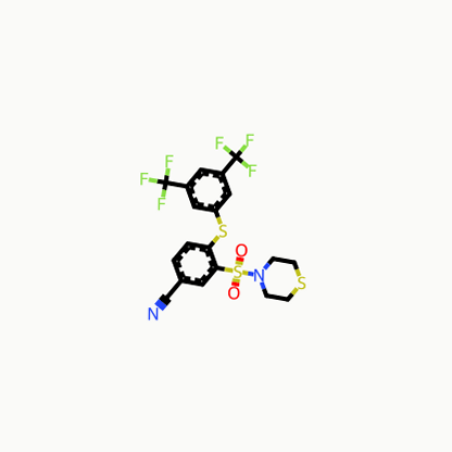 N#Cc1ccc(Sc2cc(C(F)(F)F)cc(C(F)(F)F)c2)c(S(=O)(=O)N2CCSCC2)c1